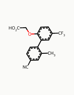 Cc1cc(C#N)ccc1-c1cc(C(F)(F)F)ccc1OCC(=O)O